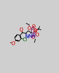 CCOP(=O)(OCC)C1(P(=O)(OCC)OCC)CC(C(=O)c2ccc(OC)cc2Cl)=NN1